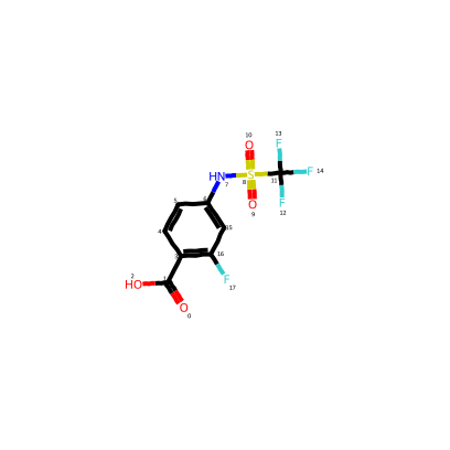 O=C(O)c1ccc(NS(=O)(=O)C(F)(F)F)cc1F